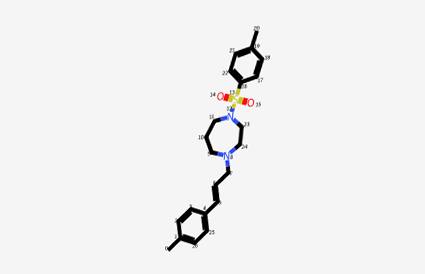 Cc1ccc(/C=C/CN2CCCN(S(=O)(=O)c3ccc(C)cc3)CC2)cc1